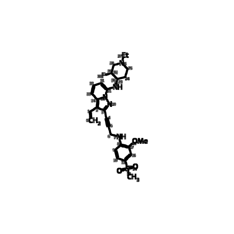 C=Cc1c(C#CCNc2ccc(S(C)(=O)=O)cc2OC)nn2c(N[C@@H]3CCN(CC)C[C@@H]3F)cccc12